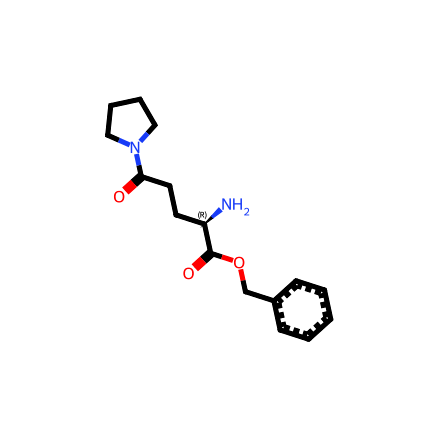 N[C@H](CCC(=O)N1CCCC1)C(=O)OCc1ccccc1